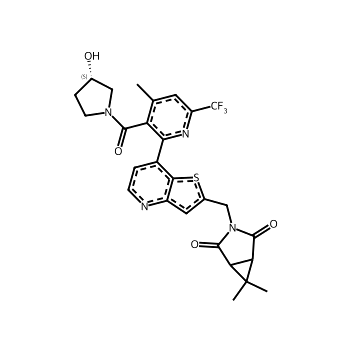 Cc1cc(C(F)(F)F)nc(-c2ccnc3cc(CN4C(=O)C5C(C4=O)C5(C)C)sc23)c1C(=O)N1CC[C@H](O)C1